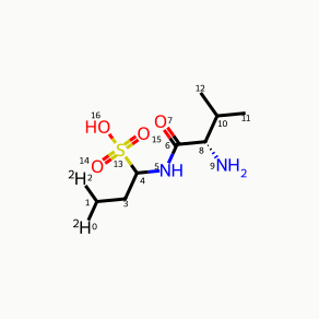 [2H]C([2H])CC(NC(=O)[C@@H](N)C(C)C)S(=O)(=O)O